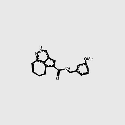 COc1cccc(CNC(=O)c2cc3c[nH]nc4c-3c2CCC=C4)c1